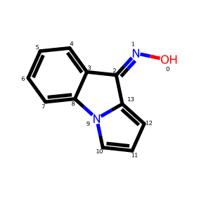 ON=C1c2ccccc2-n2cccc21